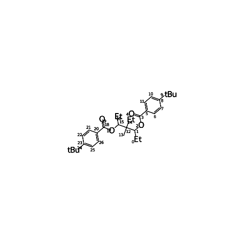 CCC(OC(=O)c1ccc(C(C)(C)C)cc1)C(C)(CC)C(CC)OC(=O)c1ccc(C(C)(C)C)cc1